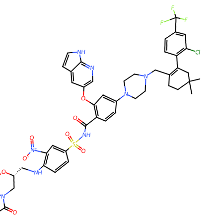 CC(=O)N1CCO[C@H](CNc2ccc(S(=O)(=O)NC(=O)c3ccc(N4CCN(CC5=C(c6ccc(C(F)(F)F)cc6Cl)CC(C)(C)CC5)CC4)cc3Oc3cnc4[nH]ccc4c3)cc2[N+](=O)[O-])C1